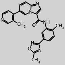 Cc1nc(-c2ccc(C)c(NC(=O)c3cnc4ccc(-c5ccncc5C)cn34)c2)no1